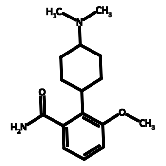 COc1cccc(C(N)=O)c1C1CCC(N(C)C)CC1